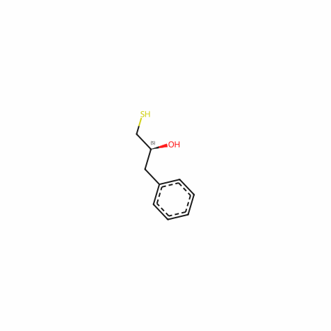 O[C@H](CS)Cc1ccccc1